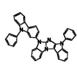 c1ccc(-n2c3ccccc3c3ccc(-n4c5ccccc5n5c6c7ccccc7n(-c7ccccc7)c6nc45)cc32)cc1